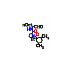 CCCCCCCCC(C=O)NC(=O)C1CCCN1C(=O)C1(CC)CC(C)CCC(C)C1